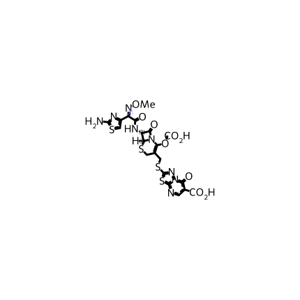 CO/N=C(\C(=O)N[C@@H]1C(=O)N2C(OC(=O)O)=C(CSc3nn4c(=O)c(C(=O)O)cnc4s3)CS[C@H]12)c1csc(N)n1